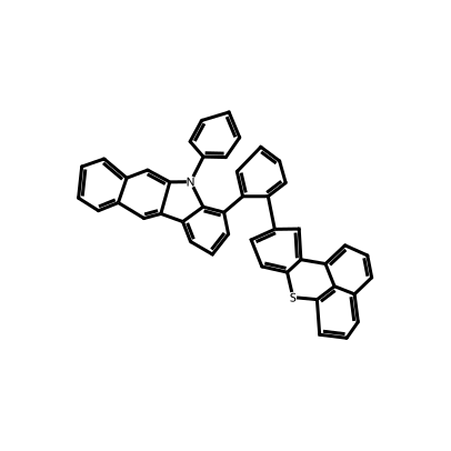 c1ccc(-n2c3cc4ccccc4cc3c3cccc(-c4ccccc4-c4ccc5c(c4)-c4cccc6cccc(c46)S5)c32)cc1